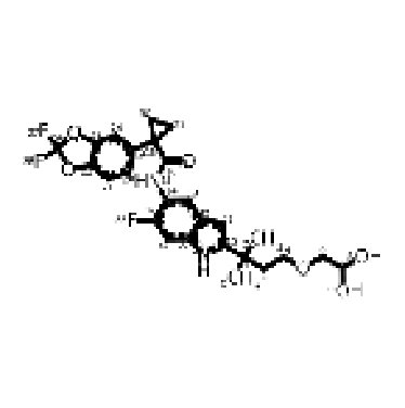 CC(C)(CCOCC(O)O)c1cc2cc(NC(=O)C3(c4ccc5c(c4)OC(F)(F)O5)CC3)c(F)cc2[nH]1